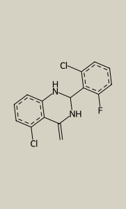 C=C1NC(c2c(F)cccc2Cl)Nc2cccc(Cl)c21